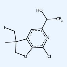 CC1(CI)COc2c1cc(C(O)C(F)(F)F)nc2Cl